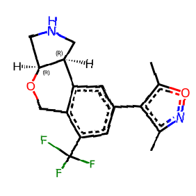 Cc1noc(C)c1-c1cc2c(c(C(F)(F)F)c1)CO[C@H]1CNC[C@@H]21